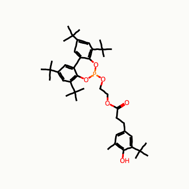 Cc1cc(CCC(=O)OCCOp2oc3c(C(C)(C)C)cc(C(C)(C)C)cc3c3cc(C(C)(C)C)cc(C(C)(C)C)c3o2)cc(C(C)(C)C)c1O